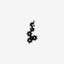 Ic1ccc(-c2ccc(-c3cccc(-n4c5ccccc5c5ccccc54)c3)s2)s1